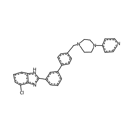 Clc1cccc2[nH]c(-c3cccc(-c4ccc(CN5CCN(c6ccncc6)CC5)cc4)c3)nc12